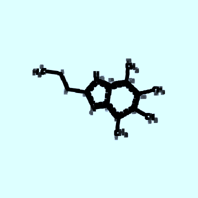 CCCc1nc2c(C)c(C)c(C)c(C)c2[nH]1